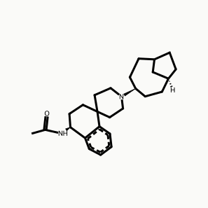 CC(=O)N[C@H]1CCC2(CCN([C@H]3CCC4CC[C@@H](CC3)C4)CC2)c2ccccc21